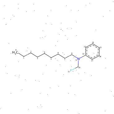 CCCCCCCCCN(CF)c1ccccc1